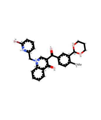 COc1ccc(C(=O)c2cn(Cc3cccc(Br)n3)c3ccccc3c2=O)cc1C1OCCCO1